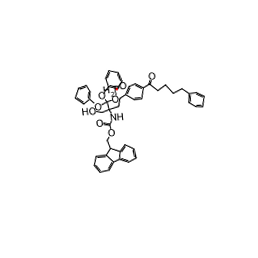 O=[PH2]OC(Oc1ccccc1)(Oc1ccccc1)C(CO)(CCc1ccc(C(=O)CCCCc2ccccc2)cc1)NC(=O)OCC1c2ccccc2-c2ccccc21